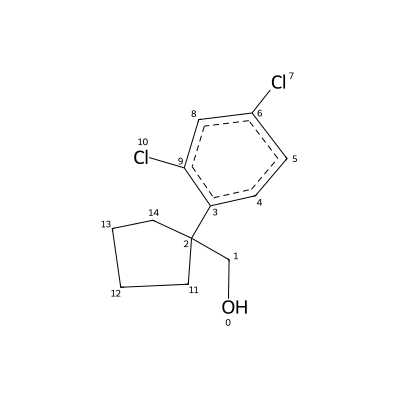 OCC1(c2ccc(Cl)cc2Cl)CCCC1